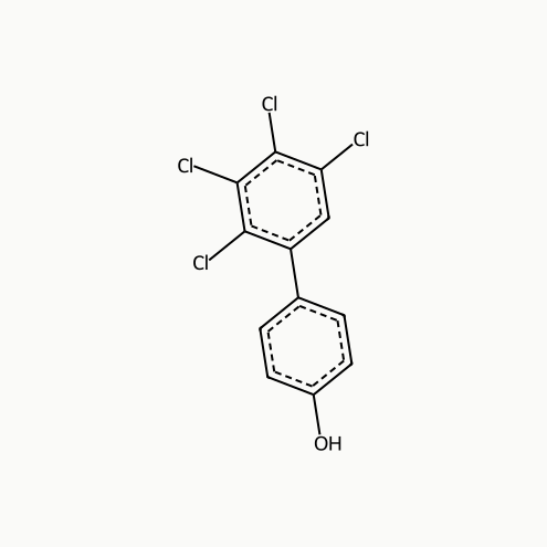 Oc1ccc(-c2cc(Cl)c(Cl)c(Cl)c2Cl)cc1